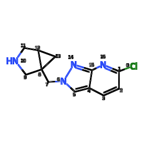 Clc1ccc2cn(CC34CNCC3C4)nc2n1